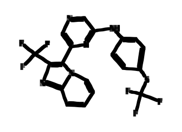 FC(F)(F)Sc1ccc(Nc2cncc(-c3c(C(F)(F)F)nc4ccccn34)n2)cc1